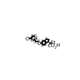 CCC(C(=O)O)[C@@H]1CCc2cc(OCCc3nccc(Cl)n3)ccc21